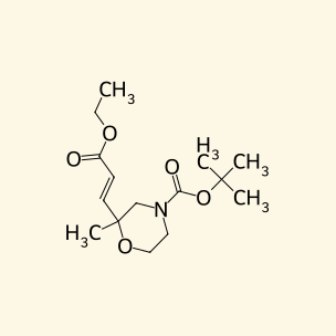 CCOC(=O)C=CC1(C)CN(C(=O)OC(C)(C)C)CCO1